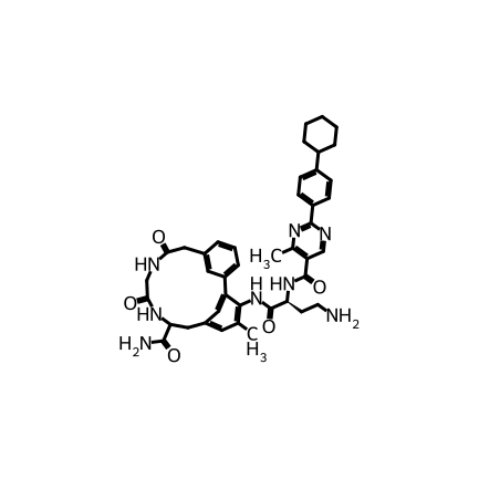 Cc1cc2cc(c1NC(=O)[C@H](CCN)NC(=O)c1cnc(-c3ccc(C4CCCCC4)cc3)nc1C)-c1cccc(c1)CC(=O)NCC(=O)NC(C(N)=O)C2